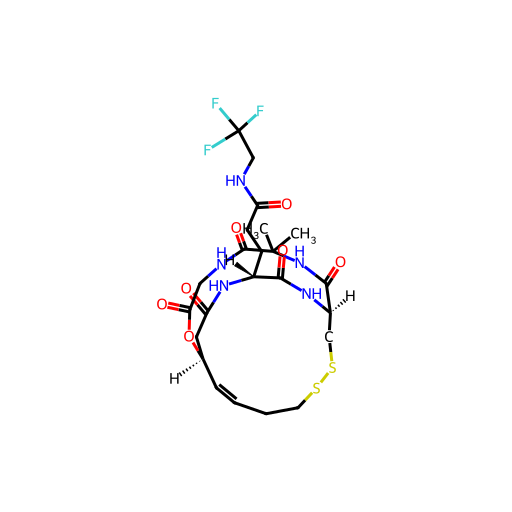 CC1(C)NC(=O)[C@H]2CSSCCC=C[C@H](CC(=O)N[C@H](CCC(=O)NCC(F)(F)F)C(=O)N2)OC(=O)CNC1=O